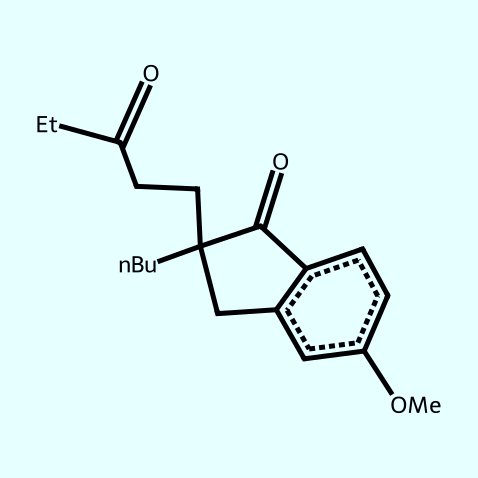 CCCCC1(CCC(=O)CC)Cc2cc(OC)ccc2C1=O